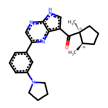 C[C@@H]1CCC[C@]1(C)C(=O)c1c[nH]c2ncc(-c3cccc(N4CCCC4)c3)nc12